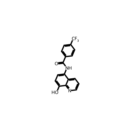 O=C(Nc1ccc(O)c2ncccc12)c1ccc(C(F)(F)F)cc1